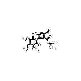 CCc1c(C)c(=O)n(-c2cc(C(=O)OC(C)C)c(C#N)cc2F)c(=O)n1C